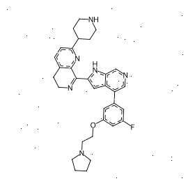 Fc1cc(OCCN2CCCC2)cc(-c2cncc3[nH]c(C4=NCCc5ccc(C6CCNCC6)nc54)cc23)c1